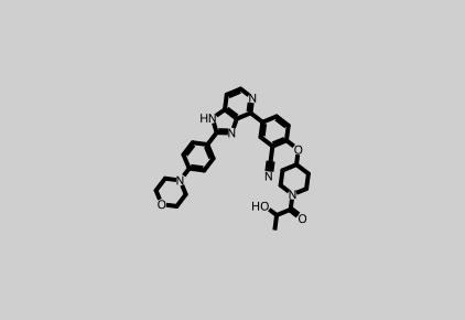 CC(O)C(=O)N1CCC(Oc2ccc(-c3nccc4[nH]c(-c5ccc(N6CCOCC6)cc5)nc34)cc2C#N)CC1